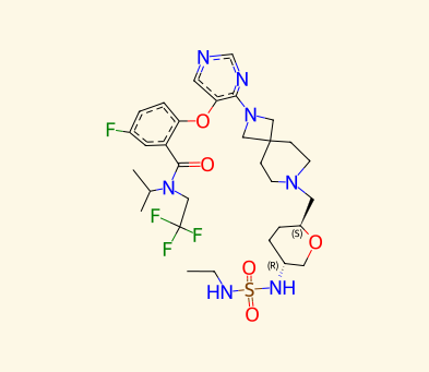 CCNS(=O)(=O)N[C@@H]1CC[C@@H](CN2CCC3(CC2)CN(c2ncncc2Oc2ccc(F)cc2C(=O)N(CC(F)(F)F)C(C)C)C3)OC1